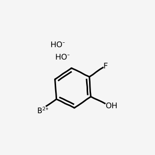 [B+2]c1ccc(F)c(O)c1.[OH-].[OH-]